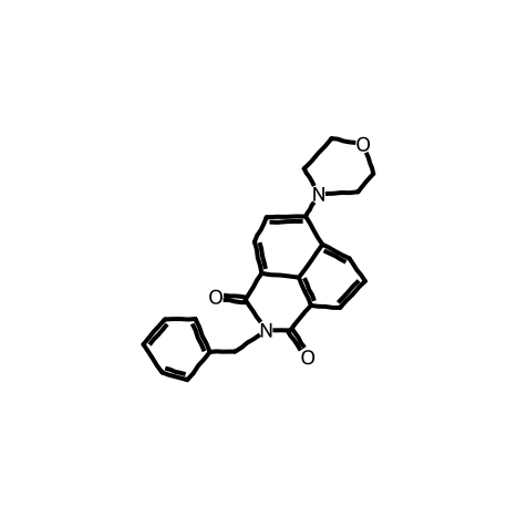 O=C1c2cccc3c(N4CCOCC4)ccc(c23)C(=O)N1Cc1ccccc1